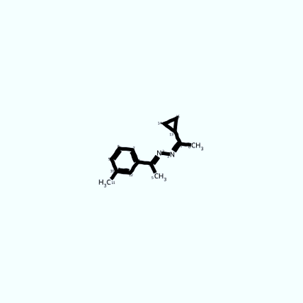 C/C(=N/N=C(\C)c1cccc(C)c1)C1CC1